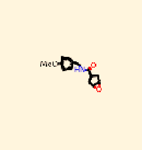 COc1ccc(CNC(=O)C2CC3OC3C2)cc1